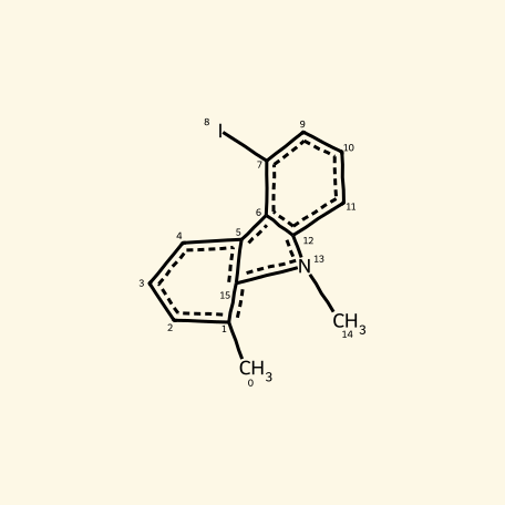 Cc1cccc2c3c(I)cccc3n(C)c12